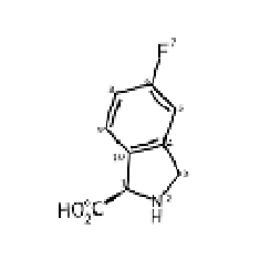 O=C(O)[C@@H]1NCc2cc(F)ccc21